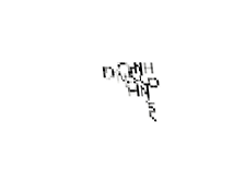 CCSCCNC(=O)c1c[nH]c2ccc(OC)nc2c1=O